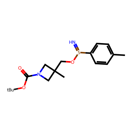 Cc1ccc(S(=N)OCC2(C)CN(C(=O)OC(C)(C)C)C2)cc1